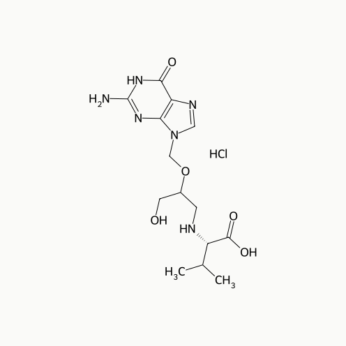 CC(C)[C@H](NCC(CO)OCn1cnc2c(=O)[nH]c(N)nc21)C(=O)O.Cl